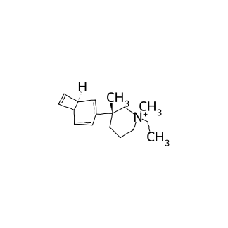 CC[N+]1(C)CCC[C@](C)(C2=C[C@@H]3C=CC3C=C2)C1